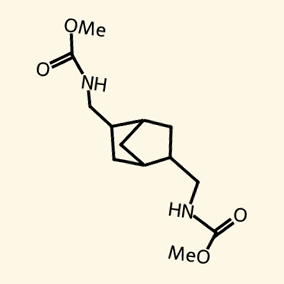 COC(=O)NCC1CC2CC1CC2CNC(=O)OC